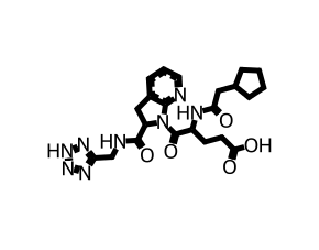 O=C(O)CCC(NC(=O)CC1CCCC1)C(=O)N1c2ncccc2CC1C(=O)NCc1nn[nH]n1